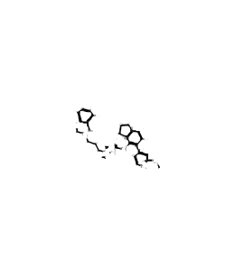 CCN(CCCS(=O)(=O)NC(=O)Nc1c(-c2ccnc(OC)c2)ccc2c1CCC2)Cc1ccccc1